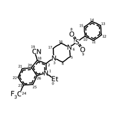 CCn1c(N2CCN(S(=O)(=O)c3ccccc3)CC2)c(C#N)c2ccc(C(F)(F)F)cc21